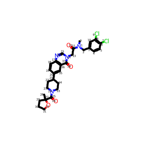 CN(Cc1ccc(Cl)c(Cl)c1)C(=O)Cn1cnc2ccc(C3CCN(C(=O)C4(C)CCCO4)CC3)cc2c1=O